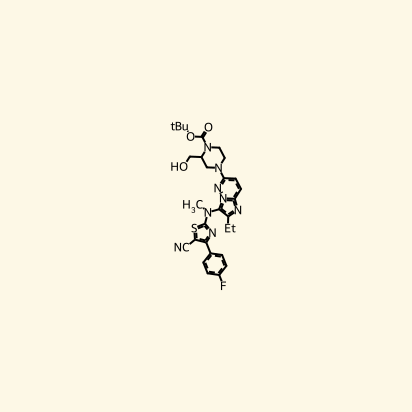 CCc1nc2ccc(N3CCN(C(=O)OC(C)(C)C)C(CO)C3)nn2c1N(C)c1nc(-c2ccc(F)cc2)c(C#N)s1